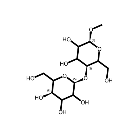 CO[C@H]1OC(CO)[C@@H](O[C@@H]2OC(CO)[C@H](O)C(O)C2O)C(O)C1O